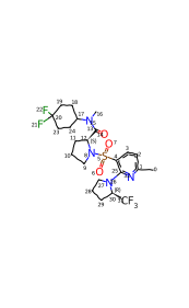 Cc1ccc(S(=O)(=O)N2CCC[C@H]2C(=O)N(C)C2CCC(F)(F)CC2)c(N2CCC[C@@H]2C(F)(F)F)n1